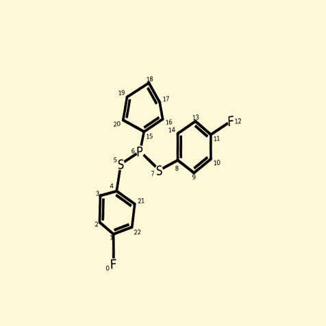 Fc1ccc(SP(Sc2ccc(F)cc2)c2ccccc2)cc1